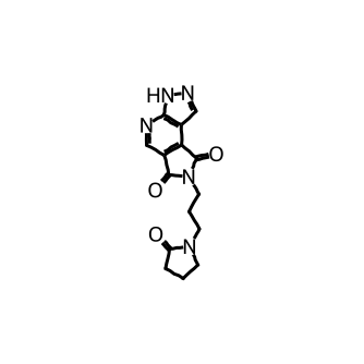 O=C1CCCN1CCCN1C(=O)c2cnc3[nH]ncc3c2C1=O